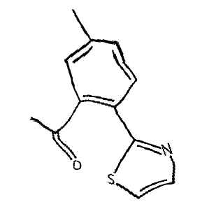 CC(=O)c1cc(C)ccc1-c1nccs1